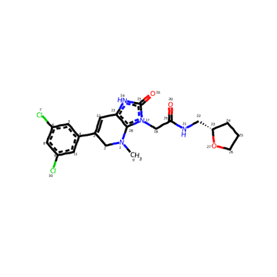 CN1CC(c2cc(Cl)cc(Cl)c2)=Cc2[nH]c(=O)n(CC(=O)NC[C@@H]3CCCO3)c21